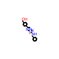 OCc1ccc(-c2cn3nc(NCc4ccccc4)sc3n2)cc1